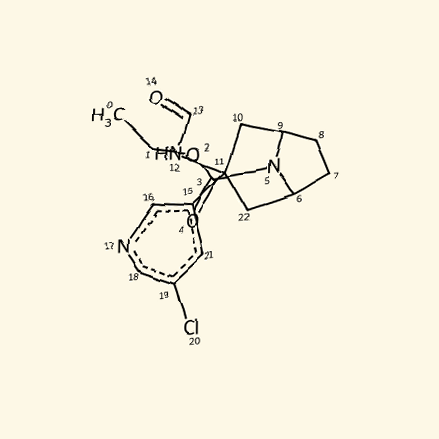 CCOC(=O)N1C2CCC1CC(NC=O)(c1cncc(Cl)c1)C2